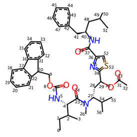 CCC(C)[C@H](NC(=O)OCC1c2ccccc2-c2ccccc21)C(=O)N(C)[C@H](CC(OC(C)=O)c1nc(C(=O)N[C@@H](Cc2ccccc2)CC(C)C)cs1)C(C)C